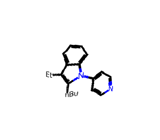 [CH2]Cc1c(CCCC)n(-c2ccncc2)c2ccccc12